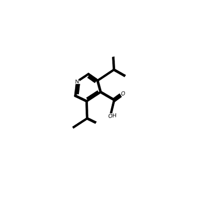 CC(C)c1cncc(C(C)C)c1C(=O)O